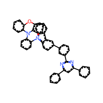 c1ccc(-c2cc(-c3ccccc3)nc(-c3cccc(-c4ccc5c(c4)c4ccccc4n5-c4ccccc4N4c5ccccc5Oc5ccccc54)c3)n2)cc1